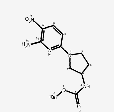 CC(C)(C)OC(=O)NC1CCN(c2ccc([N+](=O)[O-])c(N)n2)C1